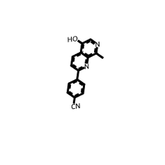 Cc1ncc(O)c2ccc(-c3ccc(C#N)cc3)nc12